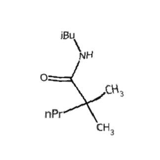 CCCC(C)(C)C(=O)NC(C)CC